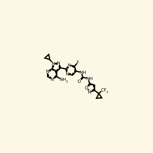 Nc1ncnc2c1c(-c1ncc(NC(=O)Nc3cc(C4(C(F)(F)F)CC4)no3)c(F)n1)nn2C1CC1